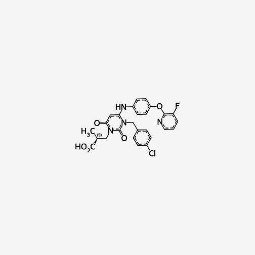 C[C@@H](Cn1c(=O)cc(Nc2ccc(Oc3ncccc3F)cc2)n(Cc2ccc(Cl)cc2)c1=O)C(=O)O